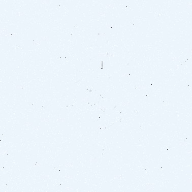 c1ccc(-c2ccc3c(c2)c2ccccc2n3-c2nc(-c3ccccc3)nc(-c3cccc4oc5ccc(-c6ccc7c(c6)c6ccccc6n7-c6ccccc6)cc5c34)n2)cc1